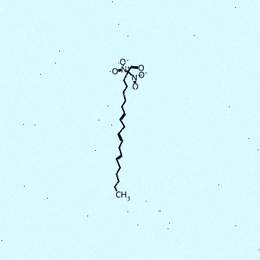 CCCCCC=CCC=CCC=CCCCCCC([C]=O)([N+](=O)[O-])[N+](=O)[O-]